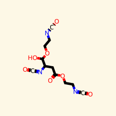 O=C=NCCOC(=O)CC(N=C=O)C(O)OCCN=C=O